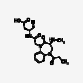 CCC(=O)N1C[C@H](NC)C(=O)N(CC(=O)N[C@H](C=O)CC(=O)O)c2ccccc21